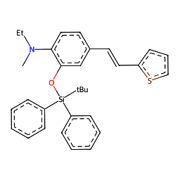 CCN(C)c1ccc(C=Cc2cccs2)cc1O[Si](c1ccccc1)(c1ccccc1)C(C)(C)C